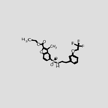 CCOC(=O)c1oc2ccc(S(=O)(=O)NCCc3cccc(OCC(F)(F)F)c3)cc2c1C